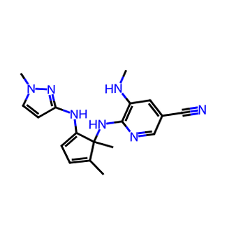 CNc1cc(C#N)cnc1NC1(C)C(C)=CC=C1Nc1ccn(C)n1